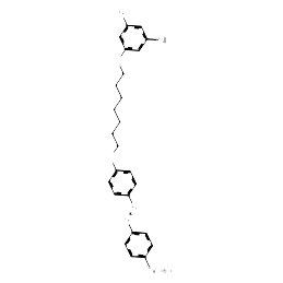 CCCCCCc1ccc(N=Nc2ccc(OCCCCCCCOc3cc(N)cc(N)c3)cc2)cc1